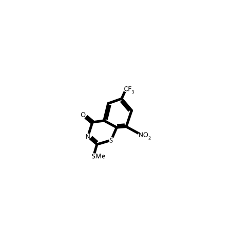 CSc1nc(=O)c2cc(C(F)(F)F)cc([N+](=O)[O-])c2s1